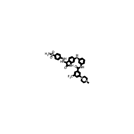 CN1CCN(c2cc(C(=O)Nc3cccc(Nc4ccc5c(c4)NC(=O)C5NNc4ccc(S(N)(=O)=O)cc4)c3)cc(C(F)(F)F)c2)CC1